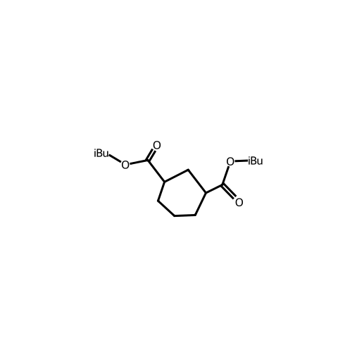 CCC(C)OC(=O)C1CCCC(C(=O)OC(C)CC)C1